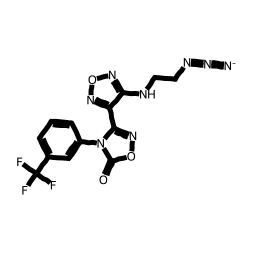 [N-]=[N+]=NCCNc1nonc1-c1noc(=O)n1-c1cccc(C(F)(F)F)c1